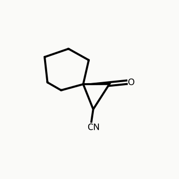 N#CC1C(=O)C12CCCCC2